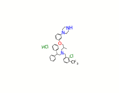 CC(COc1cccc(N2CCNCC2)c1)CN(Cc1cccc(C(F)(F)F)c1Cl)CC(c1ccccc1)c1ccccc1.Cl